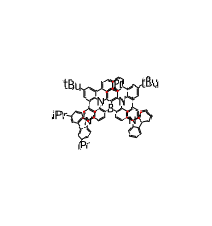 CC(C)c1cc2c3c(c1)N(c1c(-c4ccccc4)cc(C(C)(C)C)cc1-c1ccccc1)c1cc(-n4c5ccc(C(C)C)cc5c5cc(C(C)C)ccc54)ccc1B3c1ccc(-n3c4ccccc4c4ccccc43)cc1N2c1c(-c2ccccc2)cc(C(C)(C)C)cc1-c1ccccc1